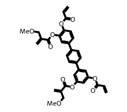 C=CC(=O)Oc1cc(OC(=O)C(=C)COC)cc(-c2ccc(-c3ccc(OC(=O)C=C)c(OC(=O)C(=C)COC)c3)cc2)c1